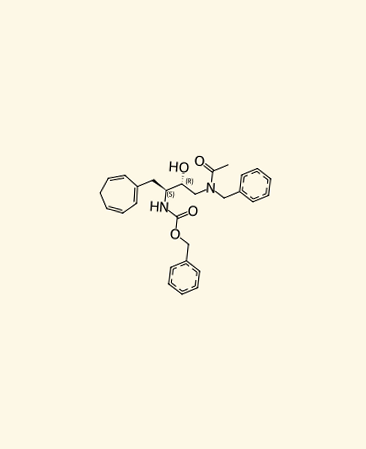 CC(=O)N(Cc1ccccc1)C[C@@H](O)[C@H](CC1=CC=CCC=C1)NC(=O)OCc1ccccc1